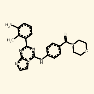 Cc1c(N)cccc1-c1nc(Nc2ccc(C(=O)N3CCOCC3)cc2)n2ccnc2n1